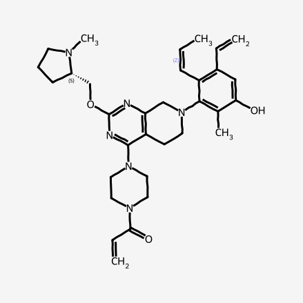 C=CC(=O)N1CCN(c2nc(OC[C@@H]3CCCN3C)nc3c2CCN(c2c(C)c(O)cc(C=C)c2/C=C\C)C3)CC1